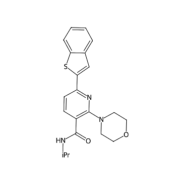 CC(C)NC(=O)c1ccc(-c2cc3ccccc3s2)nc1N1CCOCC1